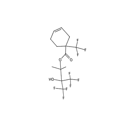 CC(C)(OC(=O)C1(C(F)(F)F)CC=CCC1)C(O)(C(F)(F)F)C(F)(F)F